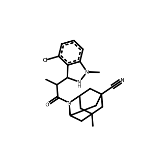 CC(C(=O)N1C2CC3(C)CC1CC(C#N)(C2)C3)C1NN(C)c2cccc(Cl)c21